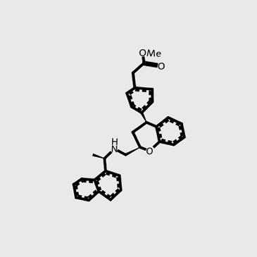 COC(=O)Cc1ccc([C@@H]2C[C@H](CN[C@H](C)c3cccc4ccccc34)Oc3ccccc32)cc1